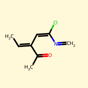 C=N/C(Cl)=C\C(=C/C)C(C)=O